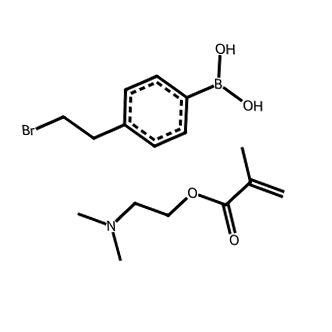 C=C(C)C(=O)OCCN(C)C.OB(O)c1ccc(CCBr)cc1